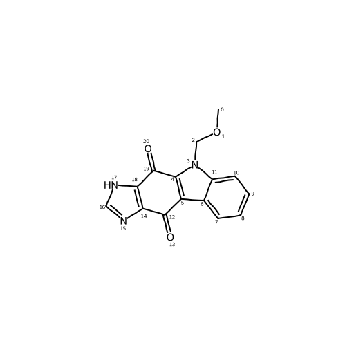 COCn1c2c(c3ccccc31)C(=O)c1nc[nH]c1C2=O